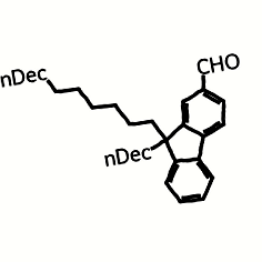 CCCCCCCCCCCCCCCCC1(CCCCCCCCCC)c2ccccc2-c2ccc(C=O)cc21